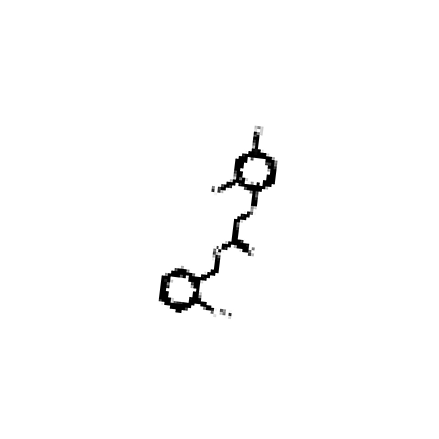 COc1ccccc1COC(=O)COc1ccc(Cl)cc1Cl